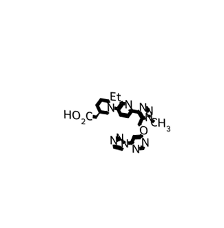 CCc1nc(-c2nnn(C)c2COc2cc(-n3ccnn3)ncn2)ccc1N1CCC[C@H](CC(=O)O)C1